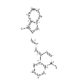 CN1C=C/C(=C\C=C\c2oc3ccccc3[n+]2C)c2ccccc21